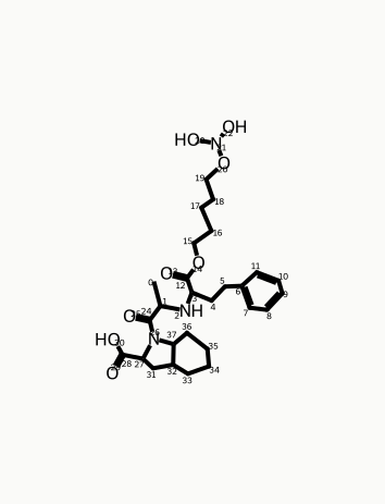 CC(NC(CCc1ccccc1)C(=O)OCCCCCON(O)O)C(=O)N1C(C(=O)O)CC2CCCCC21